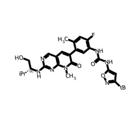 Cc1cc(F)c(NC(=O)Nc2cc(C(C)(C)C)no2)cc1-c1cc2cnc(N[C@@H](CO)C(C)C)nc2n(C)c1=O